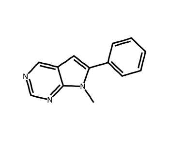 Cn1c(-c2ccccc2)cc2cncnc21